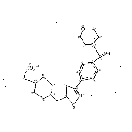 N=C(c1ccc(C2=NOC(CN3CCC(CC(=O)O)CC3)C2)cc1)N1CCOCC1